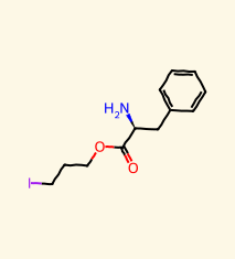 N[C@@H](Cc1ccccc1)C(=O)OCCCI